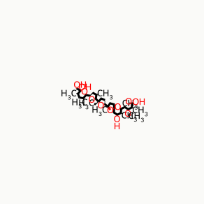 CC[C@@]1([C@@H]2O[C@@H]([C@H]3O[C@@](O)(CO)[C@H](C)C[C@@H]3C)C[C@@H]2C)CC[C@H]([C@]2(C)CCC3(C[C@H](O)[C@@H](C)[C@@H]([C@H](C)[C@H](OC)[C@H](C)C(=O)O)O3)O2)O1